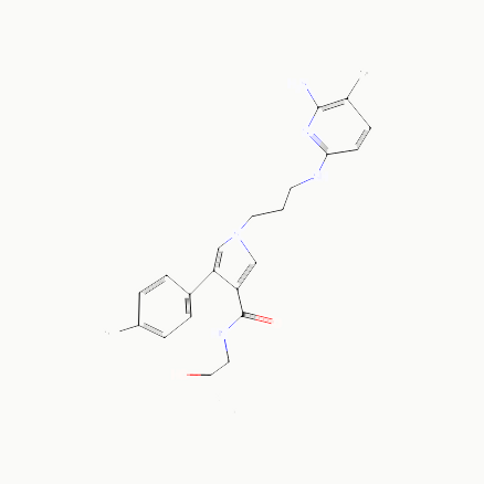 C[C@H](O)CNC(=O)c1cn(CCCNc2ccc([N+](=O)[O-])c(N)n2)cc1-c1ccc(C#N)cc1